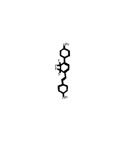 CCCC1CCC(/C=C/C2=CC=C(C3CCC(CCC)CC3)C(F)(F)C2(F)F)CC1